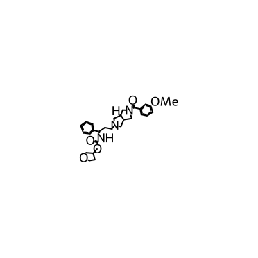 COc1cccc(C(=O)N2CC3CN(CCC(NC(=O)OC4CCOC4)c4ccccc4)C[C@H]3C2)c1